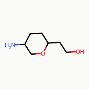 NC1CCC(CCO)OC1